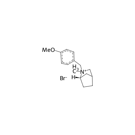 COc1ccc(C[N+]2(C)CC3CC[C@H]2C3)cc1.[Br-]